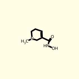 CN1CCC=C(C(=O)NO)C1